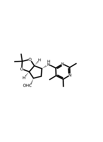 Cc1nc(C)c(C)c(N[C@@H]2C[C@H](C=O)[C@H]3OC(C)(C)O[C@H]32)n1